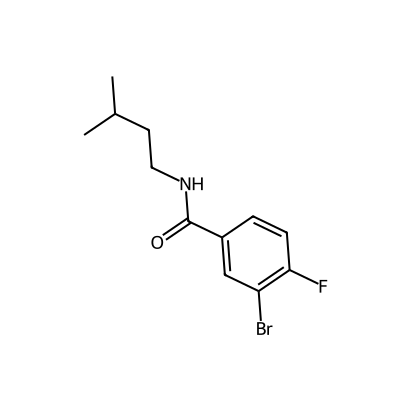 CC(C)CCNC(=O)c1ccc(F)c(Br)c1